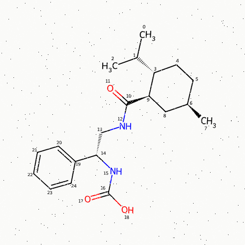 CC(C)[C@@H]1CC[C@@H](C)C[C@H]1C(=O)NC[C@H](NC(=O)O)c1ccccc1